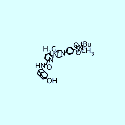 C[C@@H]1CN(c2ccc(S(=O)(=O)N(C)C(C)(C)C)cc2)CCN1c1cccc(C(=O)NC2C3CC4CC2CC(O)(C4)C3)n1